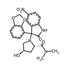 CN(C)C(=O)[C@@H]1C[C@@H](O)CN1C1(c2cccc3c2OCO3)C(=O)Nc2ccc([N+](=O)[O-])cc21